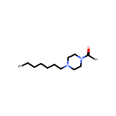 CC(C)CCCCCCN1CCN(C(=O)C(C)C)CC1